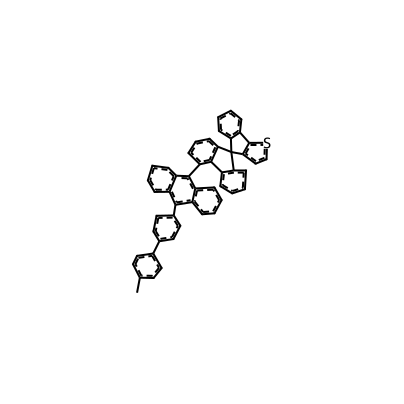 Cc1ccc(-c2ccc(-c3c4ccccc4c(-c4cccc5c4-c4ccccc4C54c5ccccc5-c5sccc54)c4ccccc34)cc2)cc1